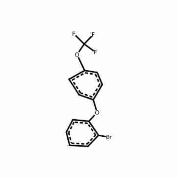 FC(F)(F)Oc1ccc(Oc2cc[c]cc2Br)cc1